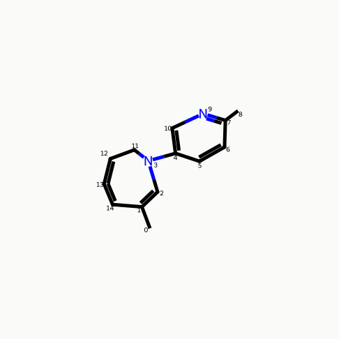 CC1=CN(c2ccc(C)nc2)CC=C=C1